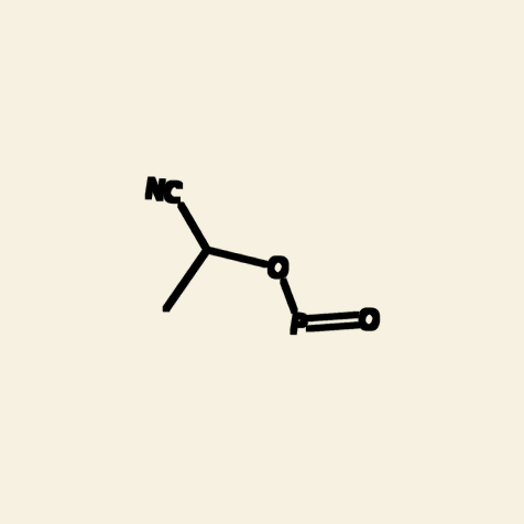 CC(C#N)OP=O